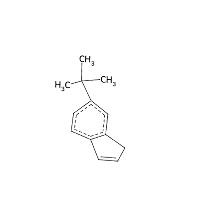 CC(C)(C)c1ccc2c(c1)CC=C2